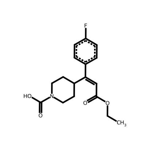 CCOC(=O)C=C(c1ccc(F)cc1)C1CCN(C(=O)O)CC1